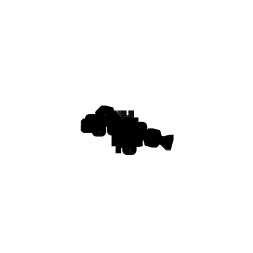 CC(NC(=O)C(F)(F)F)C(Oc1ccc(C(=O)N[C@H]2CCCN(C(=O)OC(C)(C)C)C2)nc1)c1ccc(C2CC2)cc1